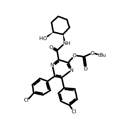 CC(C)(C)OC(=O)Oc1nc(-c2ccc(Cl)cc2)c(-c2ccc(Cl)cc2)nc1C(=O)N[C@@H]1CCCC[C@@H]1O